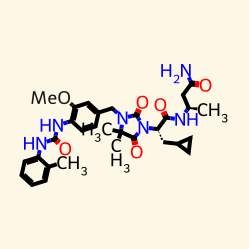 COc1cc(CN2C(=O)N([C@@H](CC3CC3)C(=O)N[C@H](C)CC(N)=O)C(=O)C2(C)C)ccc1NC(=O)Nc1ccccc1C